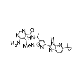 CNCc1c(N)ncnc1C(=O)NC(C)c1cc(-c2nc3ccc(C4(C)CC4)nc3[nH]2)no1